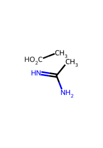 CC(=N)N.CC(=O)O